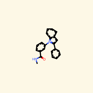 CNC(=O)c1cccc(-n2c(-c3ccccc3)cc3ccccc32)c1